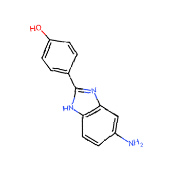 Nc1ccc2[nH]c(-c3ccc(O)cc3)nc2c1